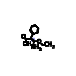 CCO/C(N)=C(/C(=O)O)c1ccccc1